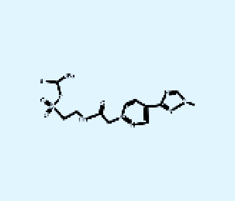 Cn1cnc(-c2cc[n+](CC(=O)NCCS(=O)(=O)OC(Br)C(C)(C)C)nc2)n1